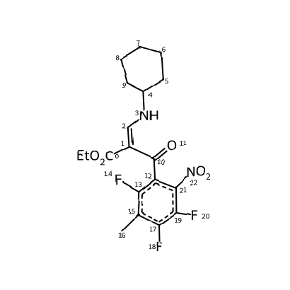 CCOC(=O)/C(=C/NC1CCCCC1)C(=O)c1c(F)c(C)c(F)c(F)c1[N+](=O)[O-]